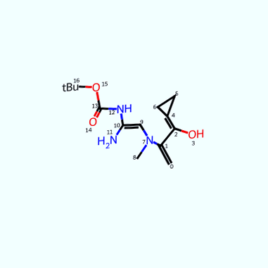 C=C(C(O)=C1CC1)N(C)/C=C(\N)NC(=O)OC(C)(C)C